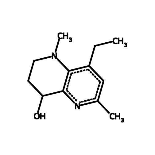 CCc1cc(C)nc2c1N(C)CCC2O